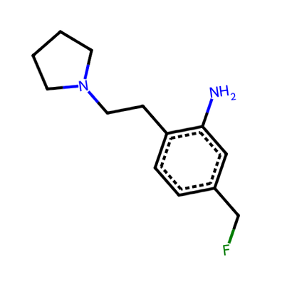 Nc1cc(CF)ccc1CCN1CCCC1